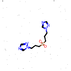 O=S(=O)(CCCn1cncn1)CCCn1cncn1